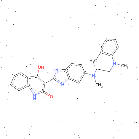 Cc1ccccc1N(C)CCN(C)c1ccc2[nH]c(-c3c(O)c4ccccc4[nH]c3=O)nc2c1